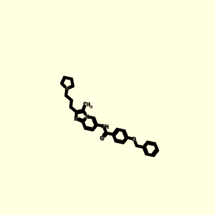 Cc1c(CCCN2CCCC2)nc2ccc(NC(=O)c3ccc(OCc4ccccc4)cc3)cn12